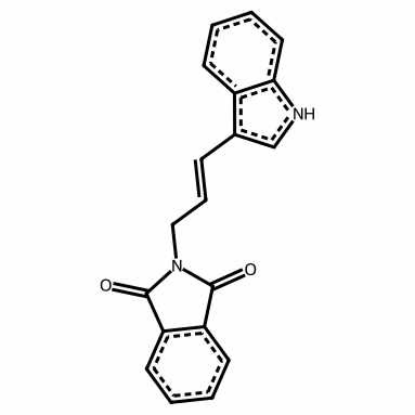 O=C1c2ccccc2C(=O)N1C/C=C/c1c[nH]c2ccccc12